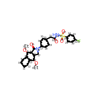 CCOc1c2c(c(OCC)c3ccccc13)C(=O)N(c1ccc(CC(=O)NS(=O)(=O)c3ccc(F)cc3)cc1)C2